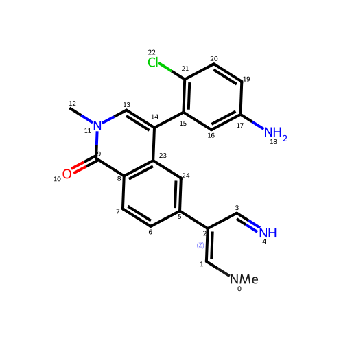 CN/C=C(\C=N)c1ccc2c(=O)n(C)cc(-c3cc(N)ccc3Cl)c2c1